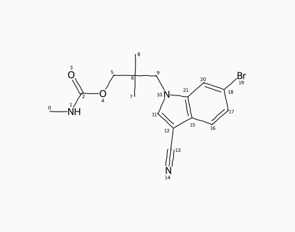 CNC(=O)OCC(C)(C)Cn1cc(C#N)c2ccc(Br)cc21